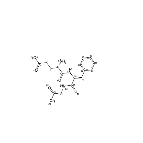 N[C@@H](CCC(=O)O)C(=O)N[C@@H](Cc1ccccc1)C(=O)NCC(=O)O